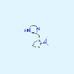 CN(C)c1ccccc1CC1CNCC[N]1